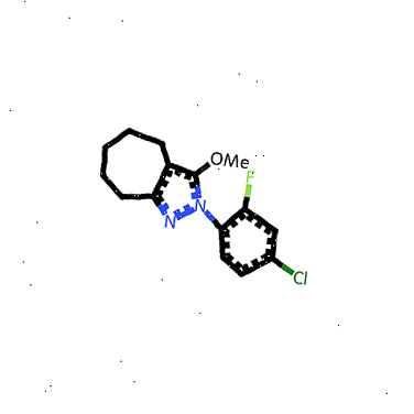 COc1c2c(nn1-c1ccc(Cl)cc1F)CCCCC2